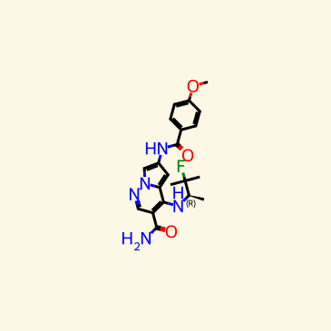 COc1ccc(C(=O)Nc2cc3c(N[C@H](C)C(C)(C)F)c(C(N)=O)cnn3c2)cc1